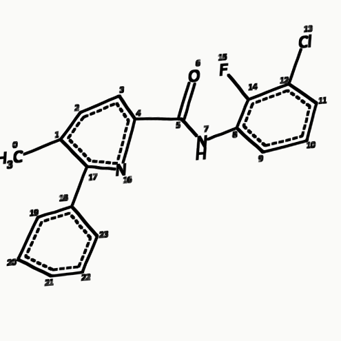 Cc1ccc(C(=O)Nc2cccc(Cl)c2F)nc1-c1ccccc1